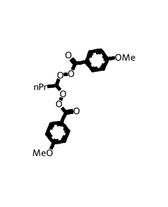 [CH2]CC[C](OOC(=O)c1ccc(OC)cc1)OOC(=O)c1ccc(OC)cc1